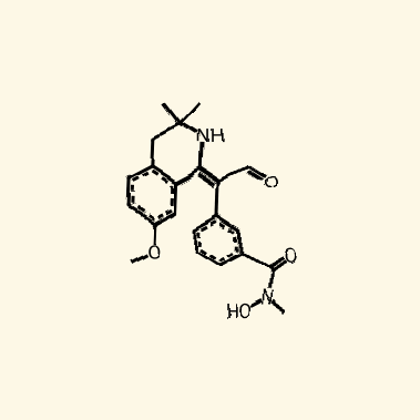 COc1ccc2c(c1)/C(=C(/C=O)c1cccc(C(=O)N(C)O)c1)NC(C)(C)C2